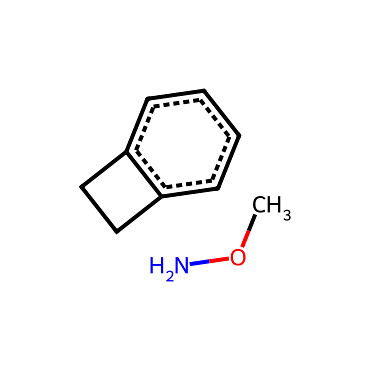 CON.c1ccc2c(c1)CC2